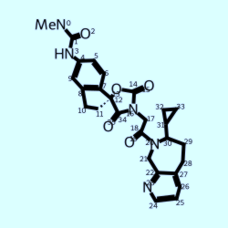 CNC(=O)Nc1ccc2c(c1)CC[C@@]21OC(=O)N(CC(=O)N2Cc3ncccc3CCC2C2CC2)C1=O